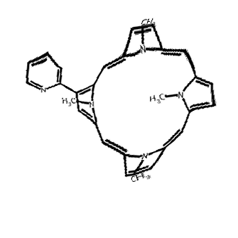 Cn1c2ccc1C=c1ccc(n1C)=Cc1c(-c3ccccn3)cc(n1C)C=c1ccc(n1C)=C2